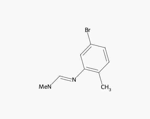 CNC=Nc1cc(Br)ccc1C